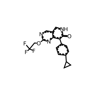 O=c1[nH]cc2cnc(OCC(F)(F)F)nc2c1-c1ccc(C2CC2)cc1